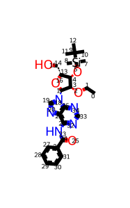 CCO[C@@H]1[C@H](O[Si](C)(C)C(C)(C)C)[C@@H](CO)O[C@H]1n1cnc2c(NC(=O)c3ccccc3)ncnc21